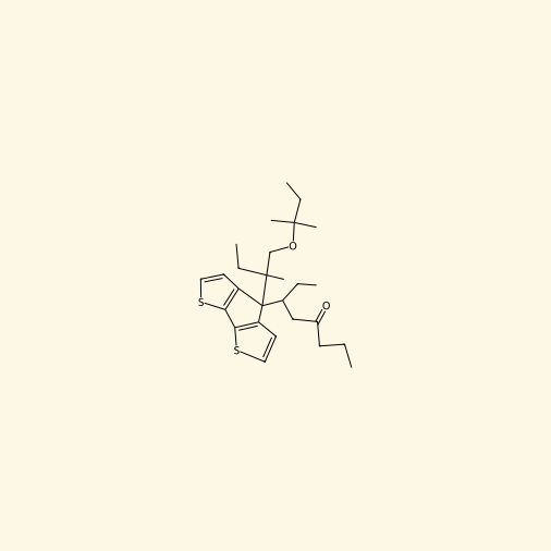 CCCC(=O)CC(CC)C1(C(C)(CC)COC(C)(C)CC)c2ccsc2-c2sccc21